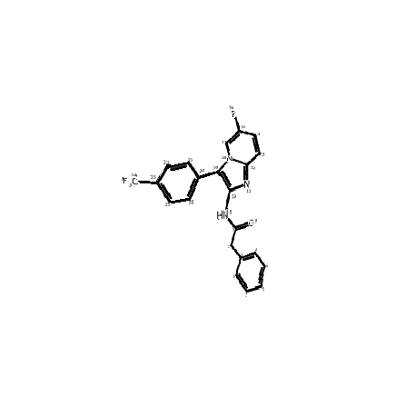 O=C(Cc1ccccc1)Nc1nc2ccc(F)cn2c1-c1ccc(C(F)(F)F)cc1